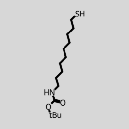 CC(C)(C)OC(=O)NCCCCCCCCCCS